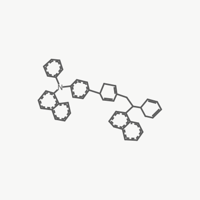 C1=CCC(C(CC2=CCC(c3ccc(N(c4ccccc4)c4cccc5ccccc45)cc3)C=C2)c2cccc3ccccc23)C=C1